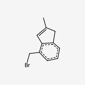 CC1=Cc2c(CBr)cccc2C1